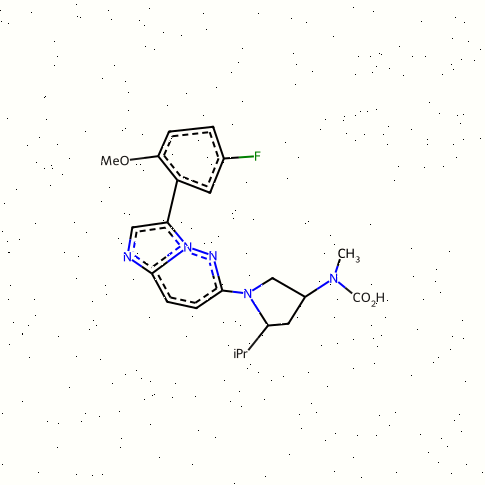 COc1ccc(F)cc1-c1cnc2ccc(N3CC(N(C)C(=O)O)CC3C(C)C)nn12